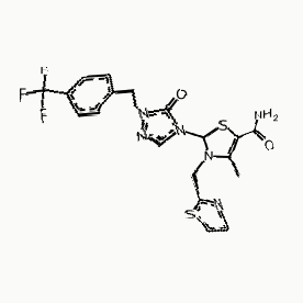 CC1=C(C(N)=O)SC(n2cnn(Cc3ccc(C(F)(F)F)cc3)c2=O)N1Cc1nccs1